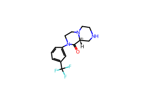 O=C1[C@H]2CNCCN2CCN1c1cccc(C(F)(F)F)c1